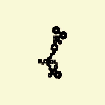 C[N+](C)(CCCCN1CCC(OC(=O)Nc2ccccc2-c2ccccc2)CC1)CCCN1C(=O)c2ccccc2C1=O